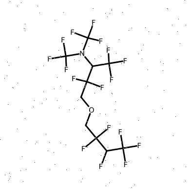 FC(C(F)(F)F)C(F)(F)COCC(F)(F)C(N(C(F)(F)F)C(F)(F)F)C(F)(F)F